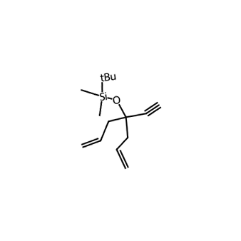 C#CC(CC=C)(CC=C)O[Si](C)(C)C(C)(C)C